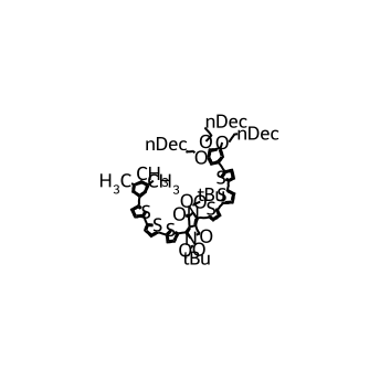 CCCCCCCCCCCCOc1cc(-c2ccc(-c3ccc(-c4ccc(C5=C6C(=O)N(C(=O)OC(C)(C)C)C(c7ccc(-c8ccc(-c9ccc(-c%10cc(C)c(C)c(C)c%10)s9)s8)s7)=C6C(=O)N5C(=O)OC(C)(C)C)s4)s3)s2)cc(OCCCCCCCCCCCC)c1OCCCCCCCCCCCC